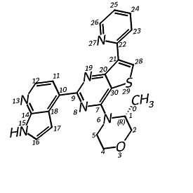 C[C@@H]1COCCN1c1nc(-c2ccnc3[nH]ccc23)nc2c(-c3ccccn3)csc12